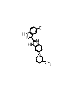 FC(F)(F)C1CCCN(c2ccc3nc(-c4n[nH]c5ccc(Cl)cc45)[nH]c3c2)C1